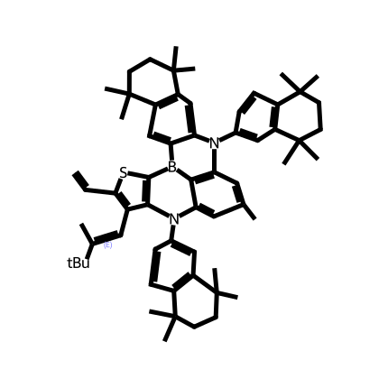 C=Cc1sc2c(c1/C=C(\C)C(C)(C)C)N(c1ccc3c(c1)C(C)(C)CCC3(C)C)c1cc(C)cc3c1B2c1cc2c(cc1N3c1ccc3c(c1)C(C)(C)CCC3(C)C)C(C)(C)CCC2(C)C